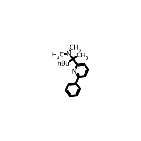 CCCCC(C)(c1cccc(-c2ccccc2)n1)N(C)C